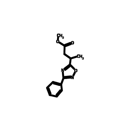 COC(=O)CC(C)c1nc(-c2ccccc2)no1